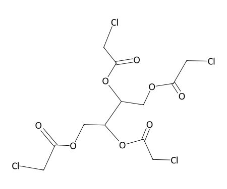 O=C(CCl)OCC(OC(=O)CCl)C(COC(=O)CCl)OC(=O)CCl